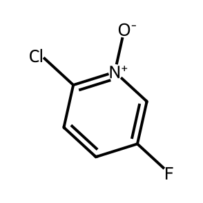 [O-][n+]1cc(F)ccc1Cl